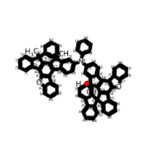 CC1(C)c2cc(N(c3ccccc3)c3ccc4c(c3)C(C)(C)c3c5c(c6oc7ccccc7c6c3-4)-c3ccccc3C53c4ccccc4-c4ccccc43)ccc2-c2c1c1c(c3oc4ccccc4c23)-c2ccccc2C1(C)c1ccccc1